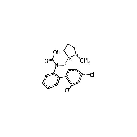 CN1CCC[C@H]1CN(C(=O)O)c1ccccc1-c1ccc(Cl)cc1Cl